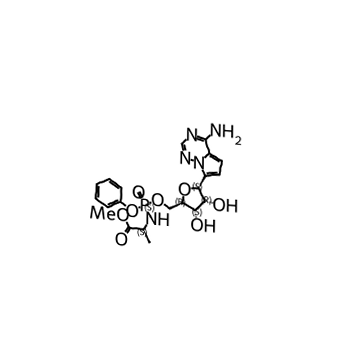 COC(=O)[C@H](C)N[P@](=O)(OC[C@H]1O[C@@H](c2ccc3c(N)ncnn23)[C@H](O)[C@@H]1O)Oc1ccccc1